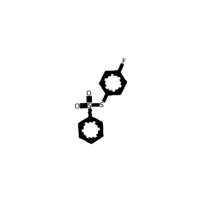 O=S(=O)(Sc1ccc(F)cc1)c1ccccc1